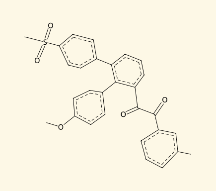 COc1ccc(-c2c(C(=O)C(=O)c3cccc(C)c3)cccc2-c2ccc(S(C)(=O)=O)cc2)cc1